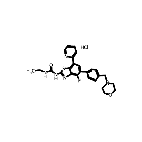 CCNC(=O)Nc1nc2c(F)c(-c3ccc(CN4CCOCC4)cc3)cc(-c3ccccn3)c2s1.Cl